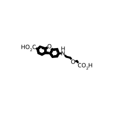 O=C(O)COCCNc1ccc2c(c1)oc1cc(C(=O)O)ccc12